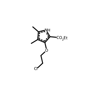 CCOC(=O)c1[nH]c(C)c(C)c1OCCCl